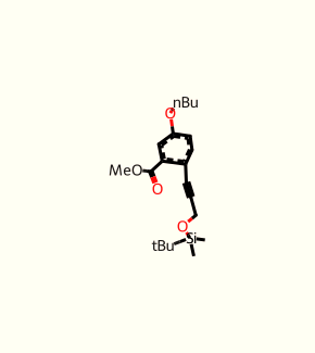 CCCCOc1ccc(C#CCO[Si](C)(C)C(C)(C)C)c(C(=O)OC)c1